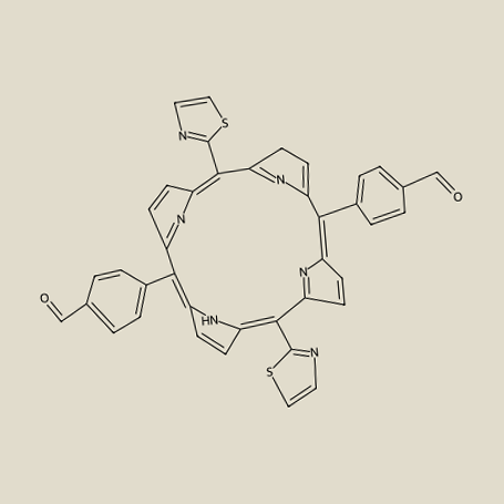 O=Cc1ccc(/C2=C3\C=CC(=N3)/C(c3nccs3)=c3/cc/c([nH]3)=C(\c3ccc(C=O)cc3)C3=N/C(=C(/c4nccs4)C4=NC2=CC4)C=C3)cc1